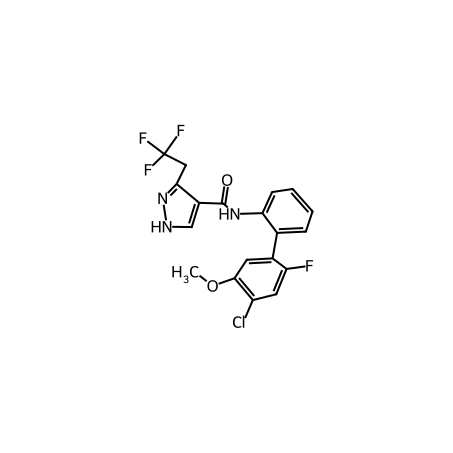 COc1cc(-c2ccccc2NC(=O)c2c[nH]nc2CC(F)(F)F)c(F)cc1Cl